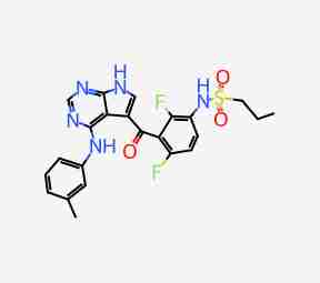 CCCS(=O)(=O)Nc1ccc(F)c(C(=O)c2c[nH]c3ncnc(Nc4cccc(C)c4)c23)c1F